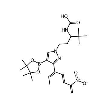 C=C(C=CC(=CC)c1nn(CCC(NC(=O)O)C(C)(C)C)cc1B1OC(C)(C)C(C)(C)O1)[N+](=O)[O-]